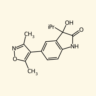 Cc1noc(C)c1-c1ccc2c(c1)C(O)(C(C)C)C(=O)N2